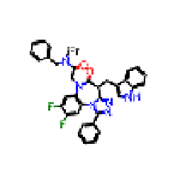 CC(C)N(Cc1ccccc1)C(=O)CN1C(=O)C(Cc2c[nH]c3ccccc23)c2nnc(-c3ccccc3)n2-c2cc(F)c(F)cc21